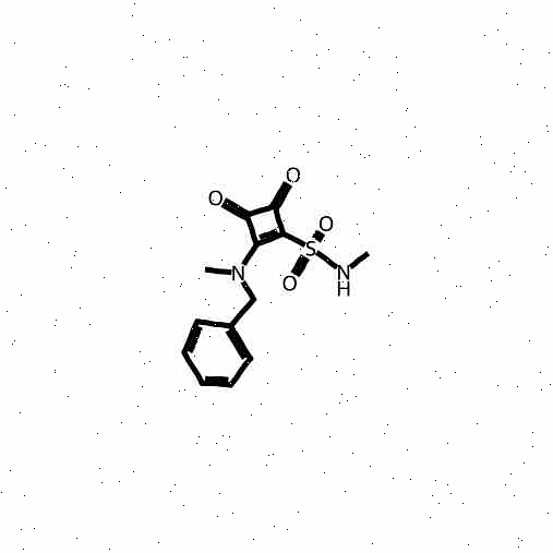 CNS(=O)(=O)c1c(N(C)Cc2ccccc2)c(=O)c1=O